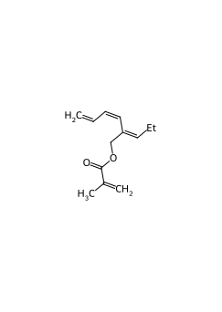 C=C/C=C\C(=C/CC)COC(=O)C(=C)C